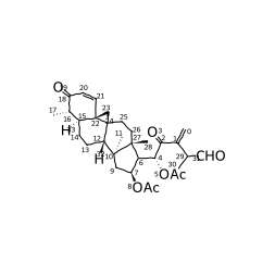 C=C(C(=O)[C@H](OC(C)=O)C1[C@@H](OC(C)=O)C[C@@]2(C)[C@@H]3CC[C@H]4[C@H](C)C(=O)C=C[C@@]45C[C@@]35CC[C@]12C)C(C)C=O